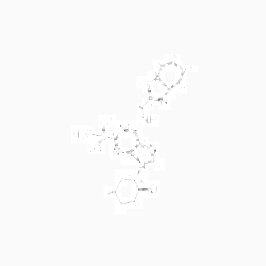 CS(=O)(=O)c1nc(NCc2nc3ccccc3s2)c2ncn([C@@H]3CCCCC3=O)c2n1